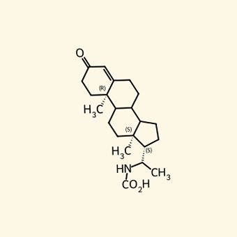 CC(NC(=O)O)[C@H]1CCC2C3CCC4=CC(=O)CC[C@]4(C)C3CC[C@@]21C